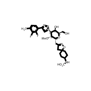 CO[C@@H]1[C@@H](n2cc(-c3ccc(C)c(F)c3F)nn2)[C@@H](O)[C@@H](CO)O[C@@H]1CC1=NOC2(CCC(NC(=O)O)CC2)C1